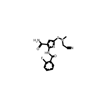 CN(CC#N)Sc1cc(C(N)=O)c(NC(=O)c2ccccc2F)s1